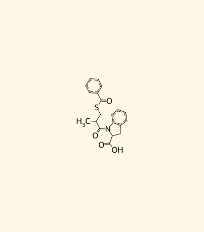 CC(CSC(=O)c1ccccc1)C(=O)N1c2ccccc2CC1C(=O)O